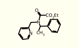 CCOC(=O)C(=O)N(Cc1ccccn1)C(C)c1ccccc1